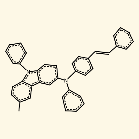 Cc1ccc2c(c1)c1cc(N(c3ccccc3)c3ccc(/C=C/c4ccccc4)cc3)ccc1n2-c1ccccc1